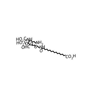 NCCCC[C@H](NC(C(=O)O)C(=O)O)C(=O)C([C]=O)OCCOCCNC(=O)CCCCCCCCCCCCCCCC(=O)O